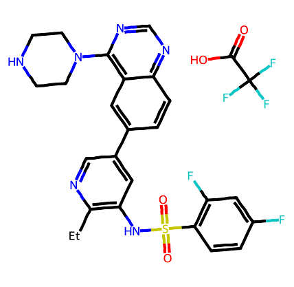 CCc1ncc(-c2ccc3ncnc(N4CCNCC4)c3c2)cc1NS(=O)(=O)c1ccc(F)cc1F.O=C(O)C(F)(F)F